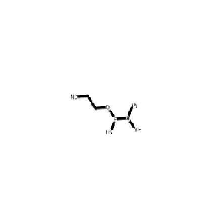 CC(C)N(C(C)C)P(S)OCCC#N